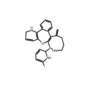 C=C1CCCNN(C2C=CC=C(C)N2)C2=C1c1ccccc1C1=C(C=CCN1)O2